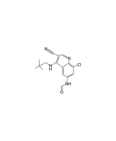 CC(C)(C)CNc1c(C#N)cnc2c(Cl)cc(N[C]=O)cc12